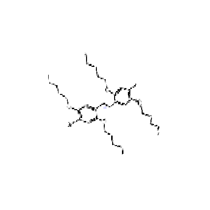 CCCCCOc1cc(/C=C/c2cc(OCCCCC)c(Br)cc2OCCCCC)c(OCCCCC)cc1C